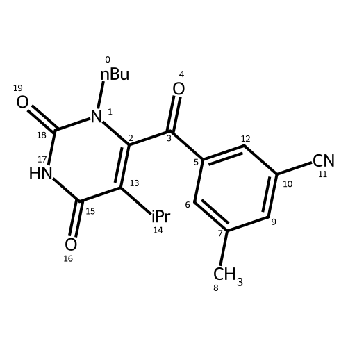 CCCCn1c(C(=O)c2cc(C)cc(C#N)c2)c(C(C)C)c(=O)[nH]c1=O